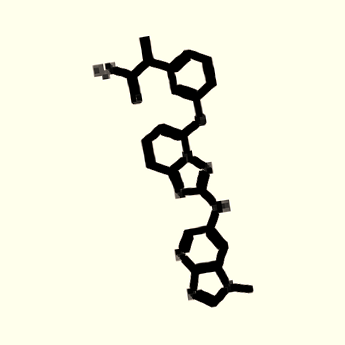 C=C(C(N)=O)c1cccc(Oc2cccc3nc(Nc4cnc5ncn(C)c5c4)nn23)c1